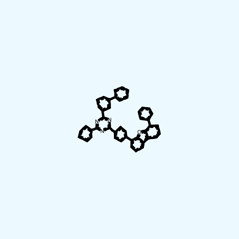 c1ccc(-c2cccc(-c3nc(-c4ccccc4)nc(-c4ccc(-c5cccc6c5oc5c(-c7ccccc7)cccc56)cc4)n3)c2)cc1